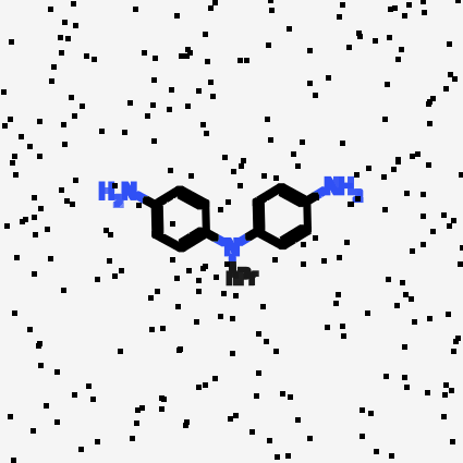 CCCN(c1ccc(N)cc1)c1ccc(N)cc1